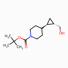 CC(C)(C)OC(=O)N1CCC([C@H]2C[C@@H]2CO)CC1